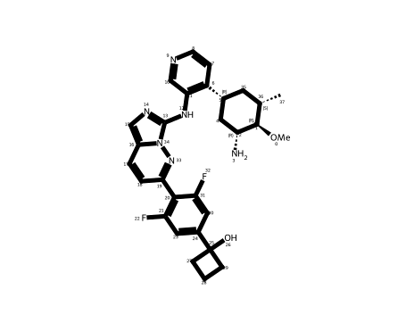 CO[C@H]1[C@H](N)C[C@H](c2ccncc2Nc2ncc3ccc(-c4c(F)cc(C5(O)CCC5)cc4F)nn23)C[C@@H]1C